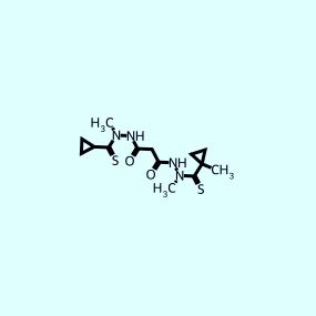 CN(NC(=O)CC(=O)NN(C)C(=S)C1(C)CC1)C(=S)C1CC1